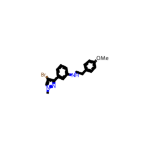 COc1ccc(CCNc2cccc(-c3nn(C)cc3Br)c2)cc1